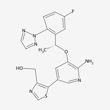 C[C@@H](Oc1cc(-c2scnc2CO)cnc1N)c1cc(F)ccc1-n1nccn1